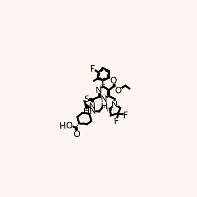 CCOC(=O)C1=C(CN2CC(F)(F)C[C@@H]2CCN[C@H]2CC[C@@H](C(=O)O)CC2)NC(c2nccs2)=N[C@H]1c1cccc(F)c1C